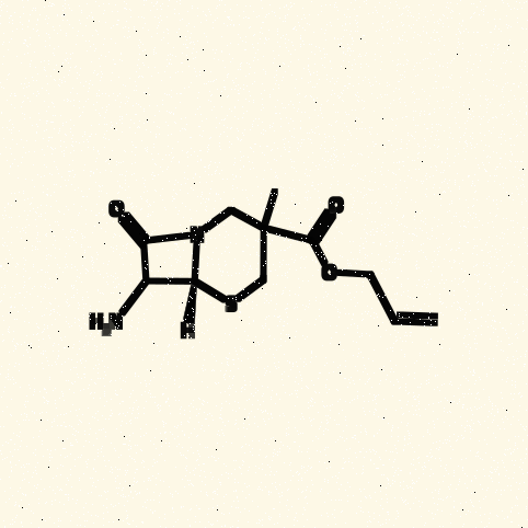 C=CCOC(=O)C1(C)CS[C@@H]2C(N)C(=O)N2C1